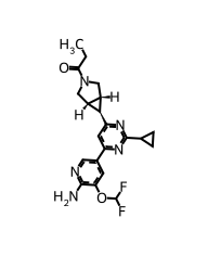 CCC(=O)N1C[C@@H]2[C@H](C1)[C@H]2c1cc(-c2cnc(N)c(OC(F)F)c2)nc(C2CC2)n1